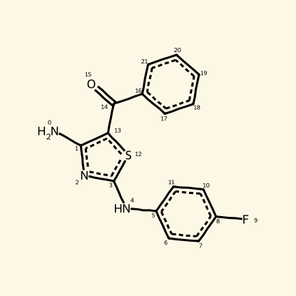 Nc1nc(Nc2ccc(F)cc2)sc1C(=O)c1ccccc1